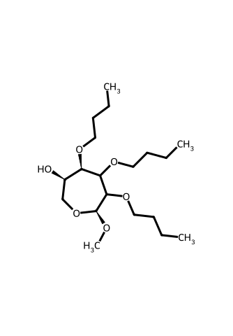 CCCCOC1C(OCCCC)[C@H](OCCCC)[C@H](O)CO[C@@H]1OC